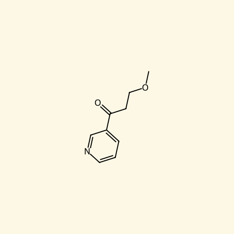 COCCC(=O)c1cccnc1